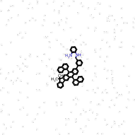 CC1(C)c2ccccc2-c2cc3c(-c4cccc5ccccc45)c4ccc(-c5cccc(CNc6ccccc6N)c5)cc4c(-c4cccc5ccccc45)c3cc21